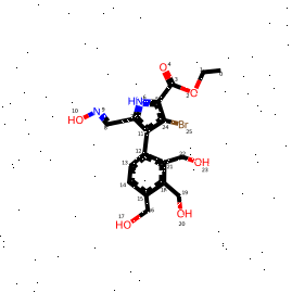 CCOC(=O)c1[nH]c(C=NO)c(-c2ccc(CO)c(CO)c2CO)c1Br